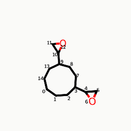 C1CCC(C2CO2)CCC(C2CO2)CC1